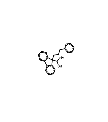 CCCC(O)C1(CCCc2ccccc2)c2ccccc2-c2ccccc21